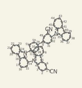 N#Cc1ccc2c(c1)c1ccccc1n2-c1cccc2c3ccccc3n(-c3ccc(-c4ccc(-n5c6ccccc6c6ccccc65)c(C#N)c4)cc3)c12